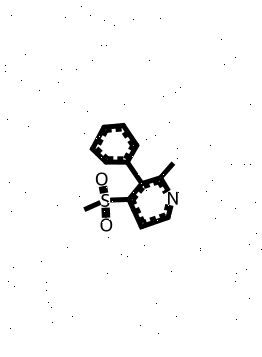 Cc1nccc(S(C)(=O)=O)c1-c1ccccc1